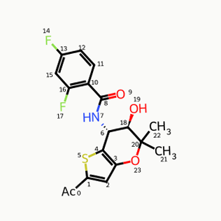 CC(=O)c1cc2c(s1)[C@H](NC(=O)c1ccc(F)cc1F)[C@@H](O)C(C)(C)O2